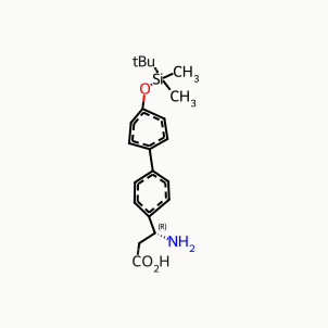 CC(C)(C)[Si](C)(C)Oc1ccc(-c2ccc([C@H](N)CC(=O)O)cc2)cc1